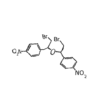 O=[N+]([O-])c1ccc(C(CBr)OC(CBr)c2ccc([N+](=O)[O-])cc2)cc1